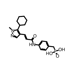 Cn1ncc(/C=C/C(=O)Nc2ccc(CP(=O)(O)O)cc2)c1C1CCCCC1